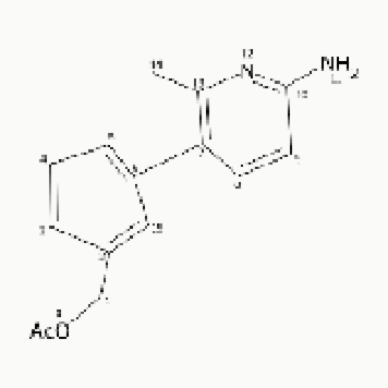 CC(=O)OCc1cccc(-c2ccc(N)nc2C)c1